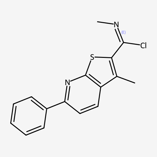 C/N=C(/Cl)c1sc2nc(-c3ccccc3)ccc2c1C